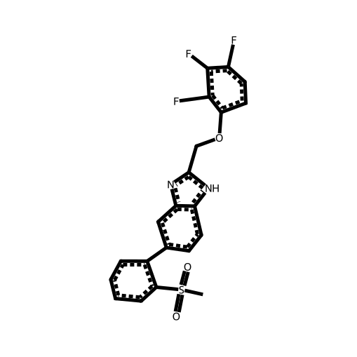 CS(=O)(=O)c1ccccc1-c1ccc2[nH]c(COc3ccc(F)c(F)c3F)nc2c1